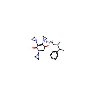 CC([CH2][AlH2])C(C)c1ccccc1.O=C1C=C(N2CC2)C(=O)C(N2CC2)=C1N1CC1